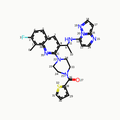 Cc1c(F)ccc2cc(C(C)Nc3ccnc4ccnn34)c(N3CCN(C(=O)c4cccs4)CC3)nc12